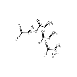 C=CC(=O)[O-].C=CC(=O)[O-].C=CC(=O)[O-].C=CC(=O)[O-].[Ce+4]